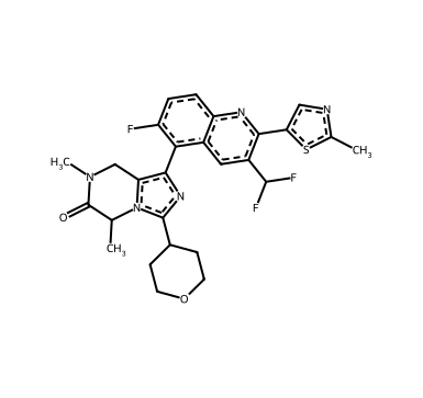 Cc1ncc(-c2nc3ccc(F)c(-c4nc(C5CCOCC5)n5c4CN(C)C(=O)C5C)c3cc2C(F)F)s1